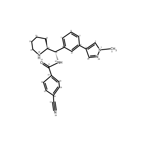 Cn1cc(-c2cccc([C@H](NC(=O)c3ccc(C#N)cc3)[C@@H]3CCCCN3)c2)cn1